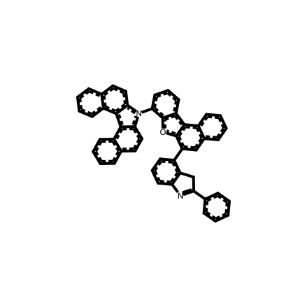 c1ccc(C2=Nc3cccc(-c4cc5ccccc5c5c4oc4c(-n6c7ccc8ccccc8c7c7c8ccccc8ccc76)cccc45)c3C2)cc1